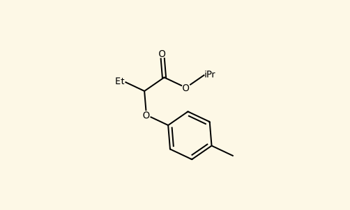 CCC(Oc1ccc(C)cc1)C(=O)OC(C)C